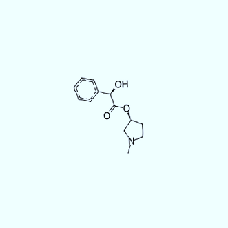 CN1CC[C@H](OC(=O)[C@H](O)c2ccccc2)C1